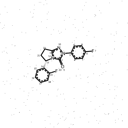 O=c1n(-c2ccc(F)cc2)nc2n1[C@H](c1ccccc1F)CC2